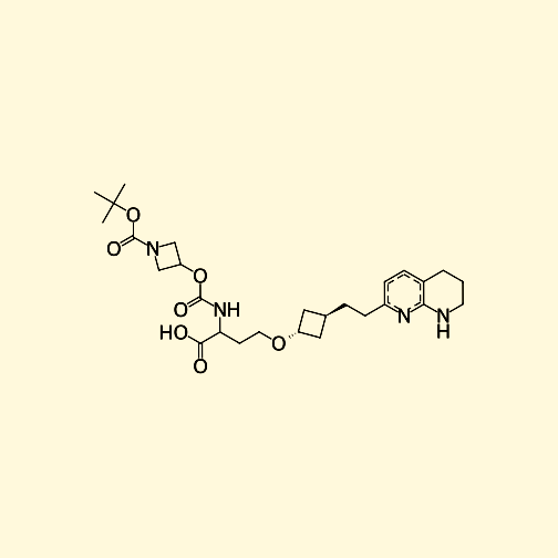 CC(C)(C)OC(=O)N1CC(OC(=O)NC(CCO[C@H]2C[C@H](CCc3ccc4c(n3)NCCC4)C2)C(=O)O)C1